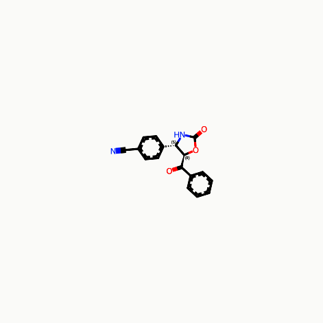 N#Cc1ccc([C@@H]2NC(=O)O[C@H]2C(=O)c2ccccc2)cc1